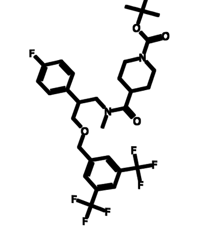 CN(CC(COCc1cc(C(F)(F)F)cc(C(F)(F)F)c1)c1ccc(F)cc1)C(=O)C1CCN(C(=O)OC(C)(C)C)CC1